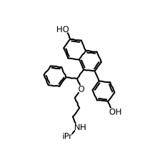 CC(C)NCCCOC(c1ccccc1)c1c(-c2ccc(O)cc2)ccc2cc(O)ccc12